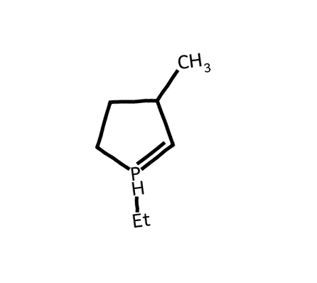 CC[PH]1=CC(C)CC1